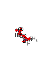 CCc1cc2cc(/C(=C\CN3CCCCC3)c3ccc4c(c3)OC(CCc3cc5cc(/C(=C/CN6CCCCC6)c6ccc7c(c6)OCCO7)ccc5[nH]c3=O)CO4)ccc2[nH]c1=O